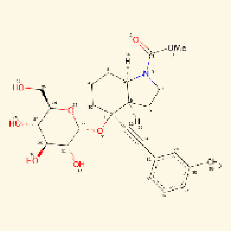 COC(=O)N1CC[C@@H]2[C@H]1CCC[C@]2(C#Cc1cccc(C)c1)O[C@H]1O[C@H](CO)[C@@H](O)[C@H](O)[C@H]1O